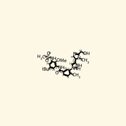 COc1c(NC(=O)c2ccc(C)c(N3C=C(C4CN=C(CO)N4C)NN3)c2)cc(C(C)(C)C)cc1NS(C)(=O)=O